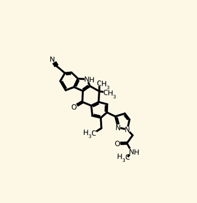 CCc1cc2c(cc1-c1ccn(CC(=O)NC)n1)C(C)(C)c1[nH]c3cc(C#N)ccc3c1C2=O